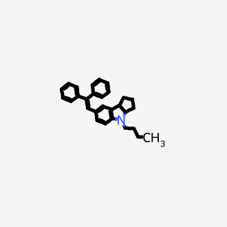 CCCCN1c2ccc(C=C(c3ccccc3)c3ccccc3)cc2C2CCCC21